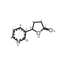 O=C1CCC(c2cccnc2)O1